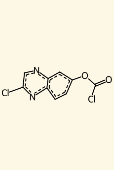 O=C(Cl)Oc1ccc2nc(Cl)cnc2c1